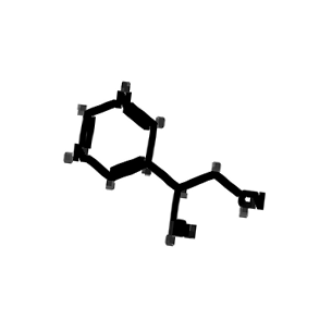 CCC(C)C(CC#N)c1cncnc1